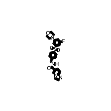 O=C(NCc1ccc(S(=O)(=O)c2cc(F)cc(N3CCOCC3)c2)cc1)c1ccc2nccn2c1